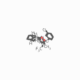 Cc1noc(N2C[C@H]3CC[C@@H](C2)[C@H]3Nc2nc(Oc3cccc(Cl)c3)n(CC(F)(F)F)n2)n1